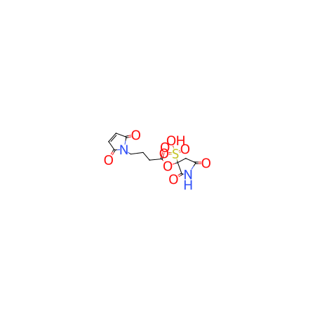 O=C1CC(OC(=O)CCCN2C(=O)C=CC2=O)(S(=O)(=O)O)C(=O)N1